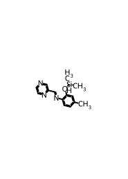 Cc1ccc(N=Cc2cnccn2)c(O[SiH](C)C)c1